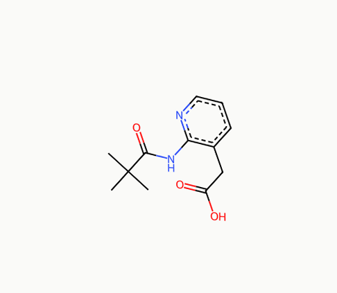 CC(C)(C)C(=O)Nc1ncccc1CC(=O)O